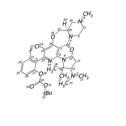 CN1CCN2C(=O)c3c(N4CCC(N(C)C)C4(C)C)nc(-c4c(F)cccc4OC(=O)OC(C)(C)C)c(Cl)c3OC[C@H]2C1